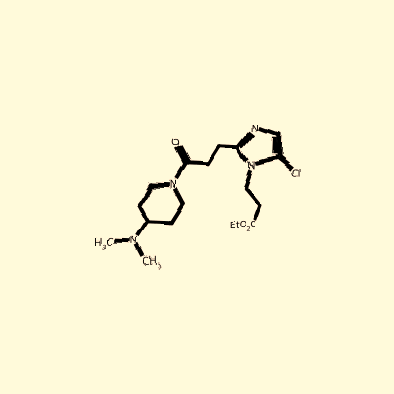 CCOC(=O)CCn1c(Cl)cnc1CCC(=O)N1CCC(N(C)C)CC1